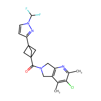 Cc1nc2c(c(C)c1Cl)CN(C(=O)C13CC(c4ccn(C(F)F)n4)(C1)C3)C2